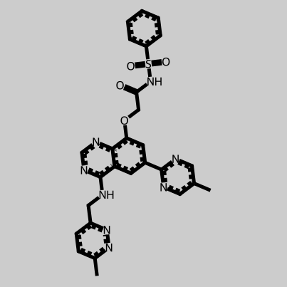 Cc1cnc(-c2cc(OCC(=O)NS(=O)(=O)c3ccccc3)c3ncnc(NCc4ccc(C)nn4)c3c2)nc1